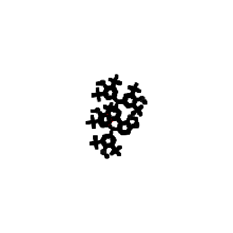 COc1c(C(C)(C)C)cc(P(c2cc3c(c(-c4c(P(c5cc(C(C)(C)C)c(OC)c(C(C)(C)C)c5)c5cc(C(C)(C)C)c(OC)c(C(C)(C)C)c5)ccc5c4OCO5)c2)OCO3)c2cc(C(C)(C)C)c(OC)c(C(C)(C)C)c2)cc1C(C)(C)C